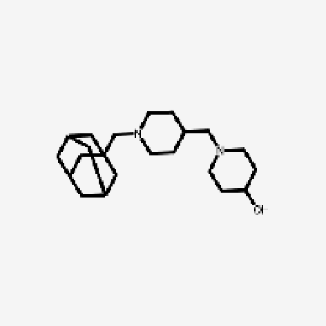 OC1CCN(CC2CCN(CC34CC5CC(CC(C5)C3)C4)CC2)CC1